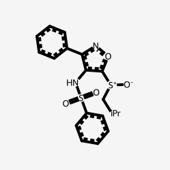 CC(C)C[S+]([O-])c1onc(-c2ccccc2)c1NS(=O)(=O)c1ccccc1